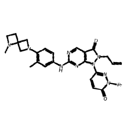 C=CCn1c(=O)c2cnc(Nc3ccc(N4CC5(CCN5C)C4)c(C)c3)nc2n1-c1ccc(=O)n(C(C)C)n1